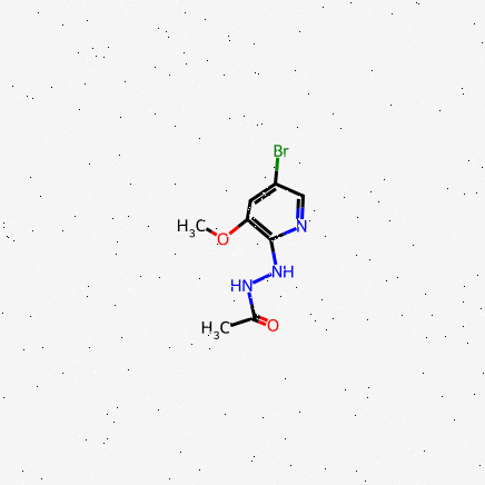 COc1cc(Br)cnc1NNC(C)=O